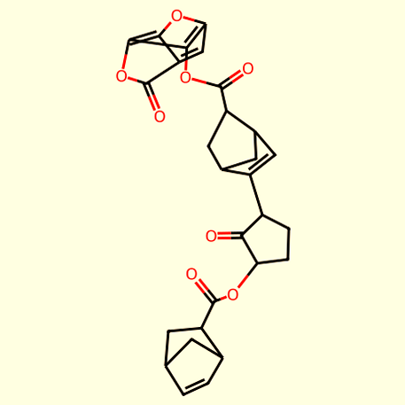 O=C1Oc2c(OC(=O)C3CC4CC3C=C4C3CCC(OC(=O)C4CC5C=CC4C5)C3=O)c3cc1c2o3